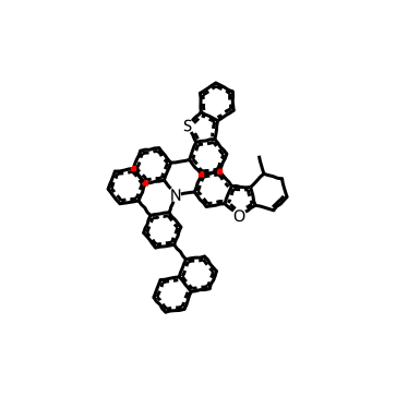 CC1CC=Cc2oc3cc(N(c4cc(-c5cccc6ccccc56)ccc4-c4ccccc4)c4ccccc4-c4cccc5c4sc4ccccc45)ccc3c21